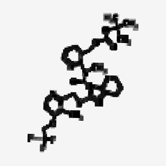 Cc1c(OCC(F)(F)F)ccnc1CSc1nc2ccccc2n1C(=O)N(C)c1ncccc1COC(=O)OC(C)(C)C